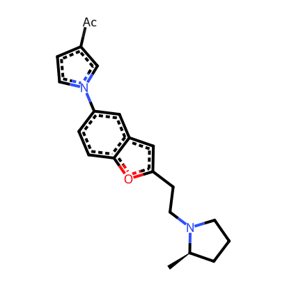 CC(=O)c1ccn(-c2ccc3oc(CCN4CCC[C@H]4C)cc3c2)c1